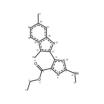 CCOC(=O)c1nc(NC)sc1-c1nc2cc(C)ccn2c1C